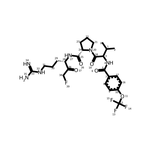 CC(C)C(NC(=O)c1ccc(OC(F)(F)F)cc1)C(=O)N1CCC[C@H]1C(=O)N[C@@H](CCCNC(=N)N)C(=O)CF